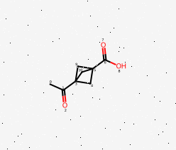 CC(=O)C12CC(C(=O)O)(C1)C2